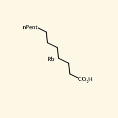 CCCCCCCCCCCC(=O)O.[Rb]